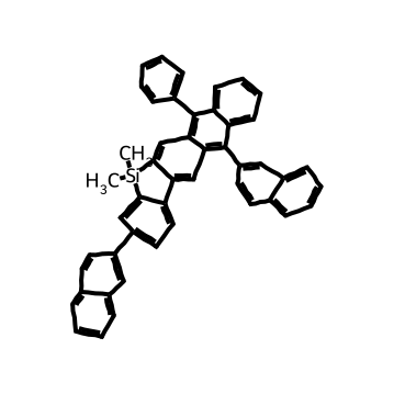 C[Si]1(C)c2cc(-c3ccc4ccccc4c3)ccc2-c2cc3c(-c4ccc5ccccc5c4)c4ccccc4c(-c4ccccc4)c3cc21